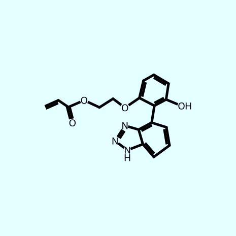 C=CC(=O)OCCOc1cccc(O)c1-c1cccc2[nH]nnc12